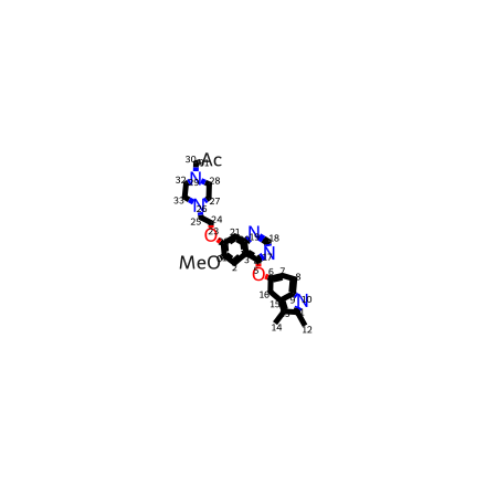 COc1cc2c(OC3=CC=C4N=C(C)C(C)=C4C3)ncnc2cc1OCCN1CCN(CC(C)=O)CC1